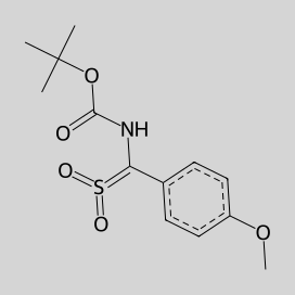 COc1ccc(C(NC(=O)OC(C)(C)C)=S(=O)=O)cc1